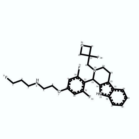 FCCCNCCOc1cc(F)c(C2c3[nH]c4ccccc4c3CCN2CC2(F)COC2)c(F)c1